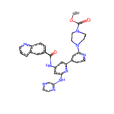 CC(C)(C)OC(=O)N1CCN(c2cc(-c3cc(NC(=O)c4ccc5ncccc5c4)cc(Nc4cnccn4)n3)ccn2)CC1